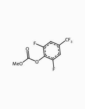 COC(=O)Oc1c(F)cc(C(F)(F)F)cc1F